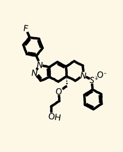 [O-][S+](c1ccccc1)N1CCC2=Cc3c(cnn3-c3ccc(F)cc3)C[C@]2(COCCO)C1